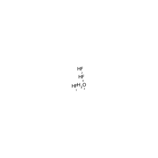 F.F.F.O